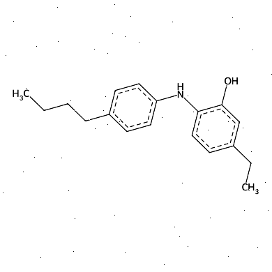 CCCCc1ccc(Nc2ccc(CC)cc2O)cc1